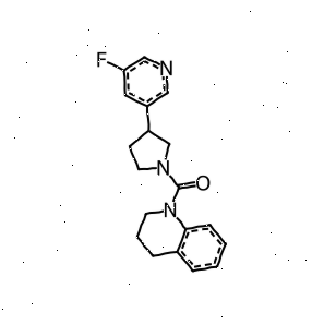 O=C(N1CCC(c2cncc(F)c2)C1)N1CCCc2ccccc21